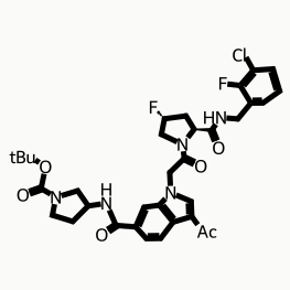 CC(=O)c1cn(CC(=O)N2C[C@H](F)C[C@H]2C(=O)NCc2cccc(Cl)c2F)c2cc(C(=O)NC3CCN(C(=O)OC(C)(C)C)C3)ccc12